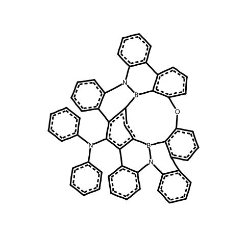 c1ccc(N(c2ccccc2)c2c3c4cc5c2-c2ccccc2N2B5c5c(cccc5-c5ccccc52)Oc2cccc5c2B4N(c2ccccc2-5)c2ccccc2-3)cc1